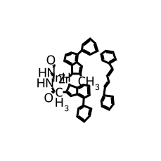 C(C=Cc1ccccc1)=Cc1ccccc1.CC1=Cc2c(-c3ccccc3)cccc2[CH]1[Zr][CH]1C(C)=Cc2c(-c3ccccc3)cccc21.O=C[NH][InH][NH]C=O